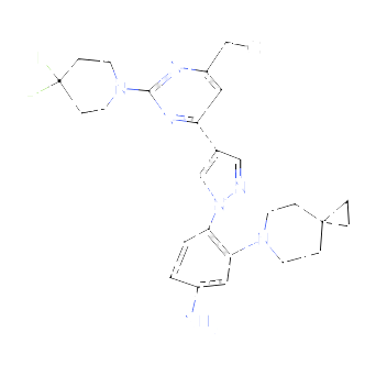 CCc1cc(-c2cnn(-c3ccc(N)cc3N3CCC4(CC3)CC4)c2)nc(N2CCC(F)(F)CC2)n1